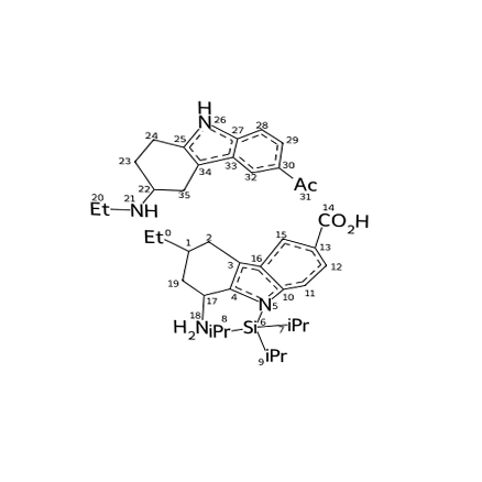 CCC1Cc2c(n([Si](C(C)C)(C(C)C)C(C)C)c3ccc(C(=O)O)cc23)C(N)C1.CCNC1CCc2[nH]c3ccc(C(C)=O)cc3c2C1